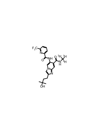 [2H]C([2H])([2H])NC(=O)c1cc2nc(CCC(C)(C)O)cn2cc1NC(=O)c1cccc(C(F)(F)F)n1